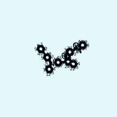 c1ccc(-c2ccc(N(c3ccccc3)c3ccc(-c4cc5ccccc5c5c4oc4ccc(-c6nc7ccccc7o6)cc45)cc3)cc2)cc1